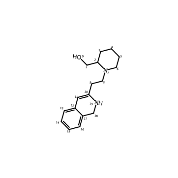 OCC1CCCCN1CCC1=Cc2ccccc2CN1